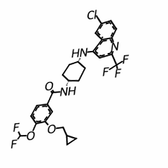 O=C(N[C@H]1CC[C@@H](Nc2cc(C(F)(F)F)nc3ccc(Cl)cc23)CC1)c1ccc(OC(F)F)c(OCC2CC2)c1